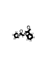 O=Cc1cn(CC(=O)N2CCCC2)c2ccccc12